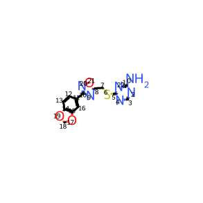 Nc1ncnc(SCc2nc(-c3ccc4c(c3)OCO4)no2)n1